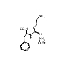 NC(=O)[O-].NCCOC(=O)NC(Cc1ccccc1)C(=O)O.[Na+]